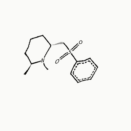 C[C@H]1CCC[C@H](CS(=O)(=O)c2ccccc2)N1C